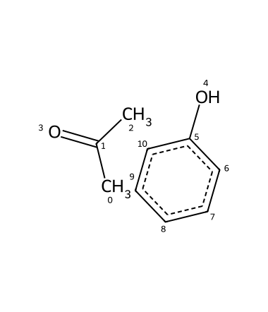 CC(C)=O.Oc1ccccc1